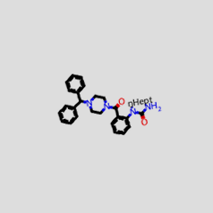 CCCCCCCN(C(N)=O)c1ccccc1C(=O)N1CCN(C(c2ccccc2)c2ccccc2)CC1